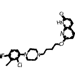 Cc1c(F)ccc(N2CCN(CCCCOc3ccc4ccc(=O)[nH]c4n3)CC2)c1Cl